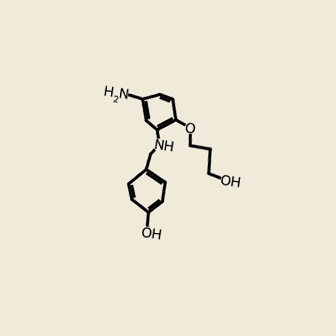 Nc1ccc(OCCCO)c(NCc2ccc(O)cc2)c1